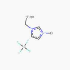 CCCCCCCCn1cc[n+](CC)c1.F[B-](F)(F)F